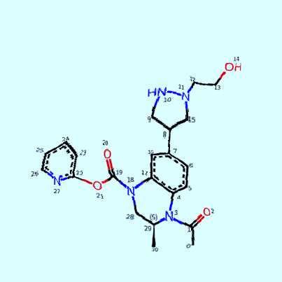 CC(=O)N1c2ccc(C3CNN(CCO)C3)cc2N(C(=O)Oc2ccccn2)C[C@@H]1C